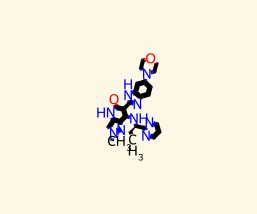 CC[C@@H](Nc1c(-c2nc3ccc(N4CCOCC4)cc3[nH]2)c(=O)[nH]c2cn(C)nc12)c1ncccn1